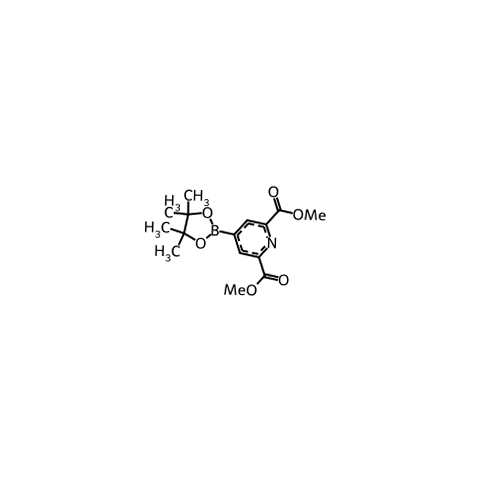 COC(=O)c1cc(B2OC(C)(C)C(C)(C)O2)cc(C(=O)OC)n1